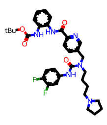 CC(C)(C)OC(=O)Nc1ccccc1NC(=O)c1ccc(CN(CCCCN2CCCC2)C(=O)Nc2ccc(F)c(F)c2)cn1